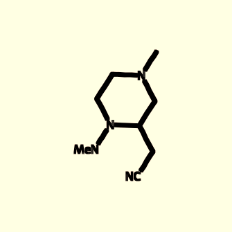 CNN1CCN(C)CC1CC#N